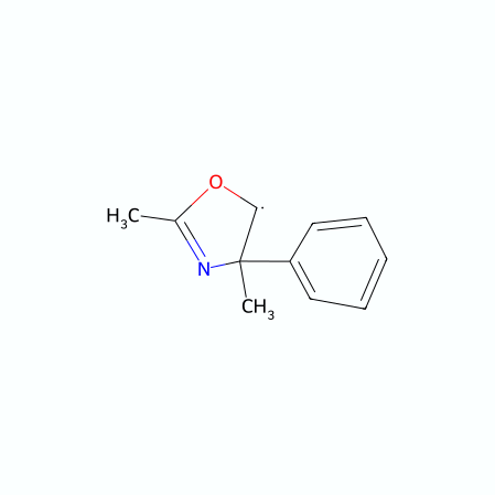 CC1=NC(C)(c2ccccc2)[CH]O1